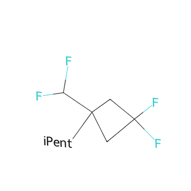 CCCC(C)C1(C(F)F)CC(F)(F)C1